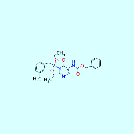 CCOC(Cc1cccc(C)c1)(OCC)n1cncc(NC(=O)OCc2ccccc2)c1=O